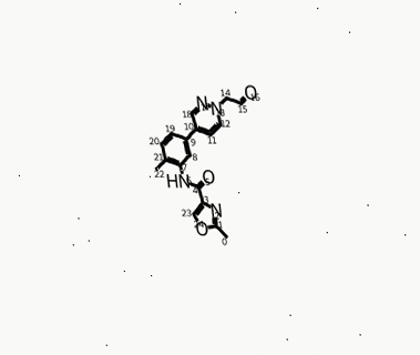 Cc1nc(C(=O)Nc2cc(C3=C=CN(CC=O)N=C3)ccc2C)co1